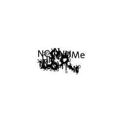 COc1cc(N(C)CCN(C)C)c(NC(C)=O)cc1Nc1ncc(C#N)c(Nc2ccccc2-c2ccn(C)n2)n1